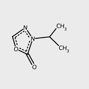 CC(C)n1ncoc1=O